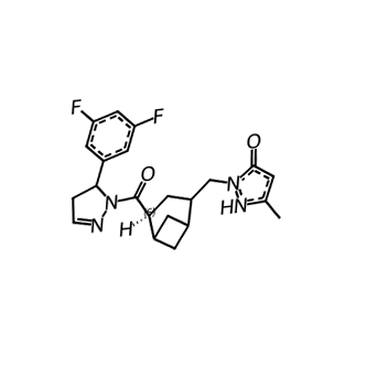 Cc1cc(=O)n(CC2C[C@H](C(=O)N3N=CCC3c3cc(F)cc(F)c3)C3CC2C3)[nH]1